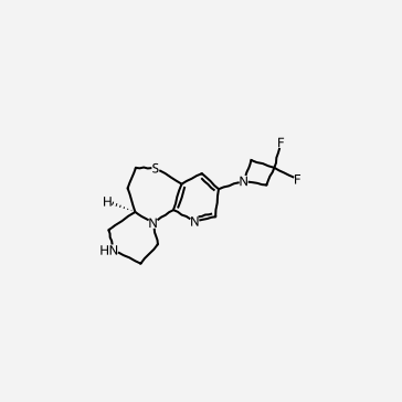 FC1(F)CN(c2cnc3c(c2)SCC[C@@H]2CNCCN32)C1